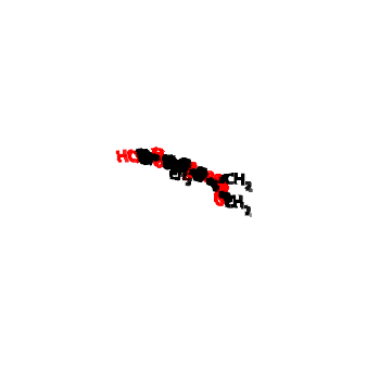 C=CC(=O)OCC(COc1ccc(C(=O)Oc2ccc3c(c2)C(C)c2cc(OC(=O)c4ccc(O)cc4)ccc2-3)cc1)OC(=O)C=C